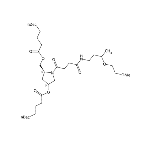 CCCCCCCCCCCCCC(=O)OC[C@@H]1C[C@@H](OC(=O)CCCCCCCCCCCCC)CN1C(=O)CCC(=O)NCCC(C)OCCOC